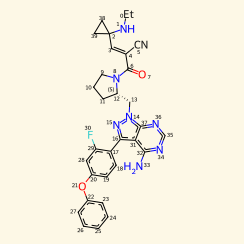 CCNC1(C=C(C#N)C(=O)N2CCC[C@H]2Cn2nc(-c3ccc(Oc4ccccc4)cc3F)c3c(N)ncnc32)CC1